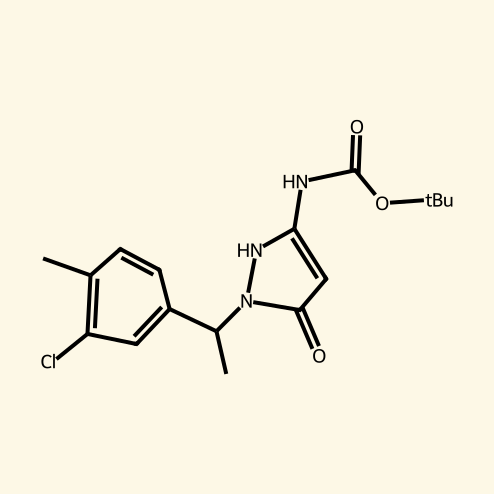 Cc1ccc(C(C)n2[nH]c(NC(=O)OC(C)(C)C)cc2=O)cc1Cl